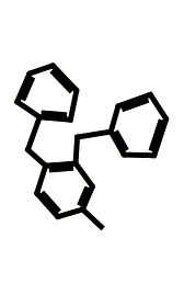 Cc1ccc(Cc2ccccc2)c(Cc2ccccc2)c1